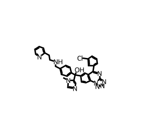 Cn1cncc1C(O)(c1ccc(CNCCc2ccccn2)cc1)c1ccc2c(c1)c(-c1cccc(Cl)c1)nc1nnnn12